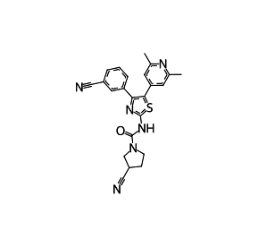 Cc1cc(-c2sc(NC(=O)N3CCC(C#N)C3)nc2-c2cccc(C#N)c2)cc(C)n1